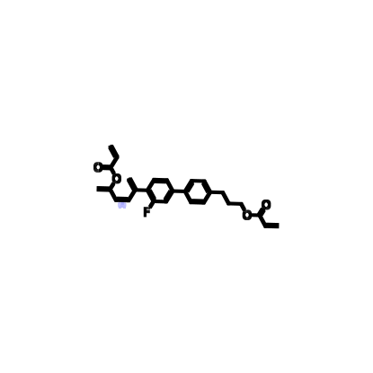 C=CC(=O)OCCCc1ccc(-c2ccc(C(=C)/C=C\C(=C)OC(=O)C=C)c(F)c2)cc1